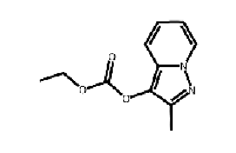 CCOC(=O)Oc1c(C)nn2ccccc12